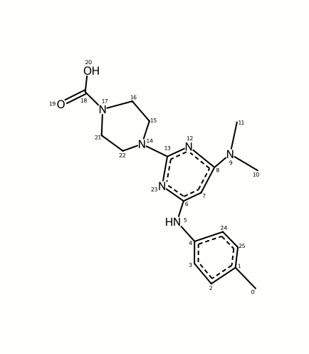 Cc1ccc(Nc2cc(N(C)C)nc(N3CCN(C(=O)O)CC3)n2)cc1